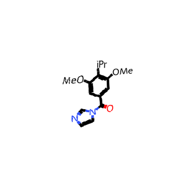 COc1cc(C(=O)n2ccnc2)cc(OC)c1C(C)C